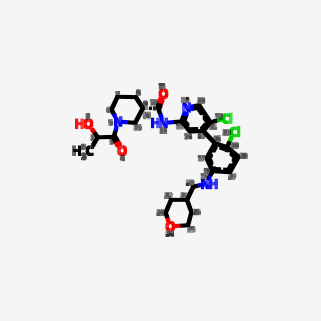 CC(O)C(=O)N1CCC[C@H](C(=O)Nc2cc(-c3cc(NCC4CCOCC4)ccc3Cl)c(Cl)cn2)C1